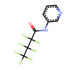 O=C(Nc1cccnc1)C(F)(F)C(F)(F)C(F)(F)F